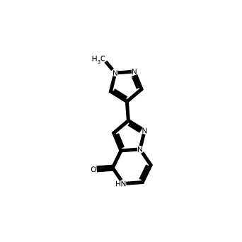 Cn1cc(-c2cc3c(=O)[nH]ccn3n2)cn1